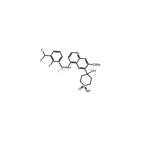 COc1cc2nccc(N[C@H](C)c3cccc(C(F)F)c3F)c2cc1C1(O)CCS(=N)(=O)CC1